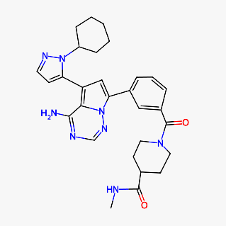 CNC(=O)C1CCN(C(=O)c2cccc(-c3cc(-c4ccnn4C4CCCCC4)c4c(N)ncnn34)c2)CC1